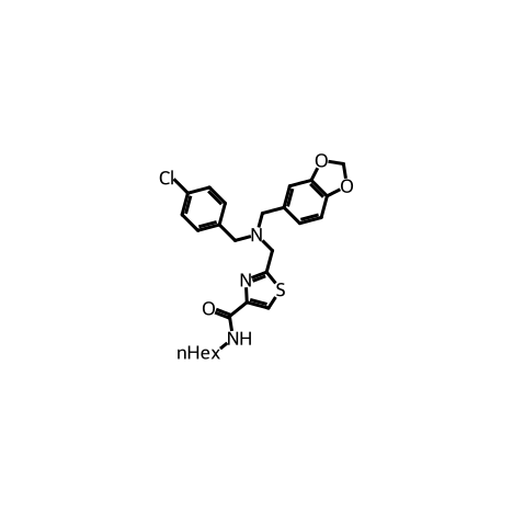 CCCCCCNC(=O)c1csc(CN(Cc2ccc(Cl)cc2)Cc2ccc3c(c2)OCO3)n1